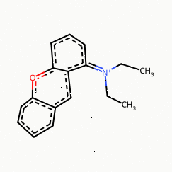 CC[N+](CC)=c1cccc2oc3ccccc3cc1-2